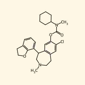 CN1CCc2cc(Cl)c(OC(=O)N(C)C3CCCCC3)cc2C(c2cccc3c2OCC3)C1